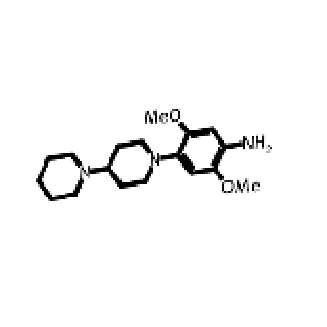 COc1cc(N2CCC(N3CCCCC3)CC2)c(OC)cc1N